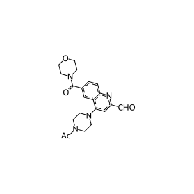 CC(=O)N1CCN(c2cc(C=O)nc3ccc(C(=O)N4CCOCC4)cc23)CC1